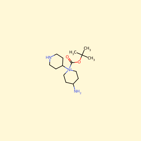 CC(C)(C)OC(=O)[N+]1(C2CCNCC2)CCC(N)CC1